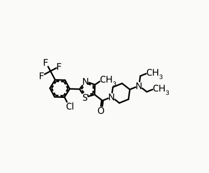 CCN(CC)C1CCN(C(=O)c2sc(-c3cc(C(F)(F)F)ccc3Cl)nc2C)CC1